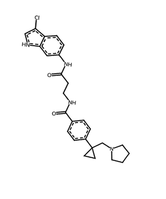 O=C(CCNC(=O)c1ccc(C2(CN3CCCC3)CC2)cc1)Nc1ccc2c(Cl)c[nH]c2c1